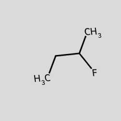 CCC(C)F